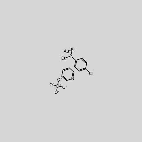 CCP(CC)c1ccc(Cl)cc1.[Au+].[O-][Cl+3]([O-])([O-])[O-].c1ccncc1